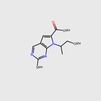 COCC(C)n1c(C(=O)OC)cc2cnc(SC)nc21